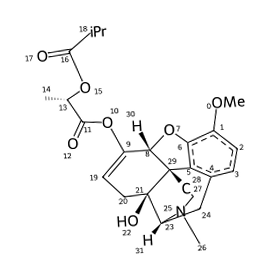 COc1ccc2c3c1O[C@H]1C(OC(=O)[C@H](C)OC(=O)C(C)C)=CC[C@@]4(O)[C@@H](C2)N(C)CC[C@]314